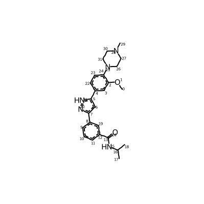 COc1cc(-c2cc(-c3cccc(C(=O)NC(C)C)c3)n[nH]2)ccc1N1CCN(C)CC1